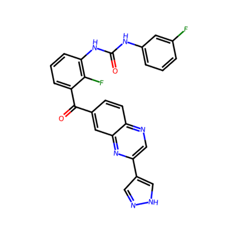 O=C(Nc1cccc(F)c1)Nc1cccc(C(=O)c2ccc3ncc(-c4cn[nH]c4)nc3c2)c1F